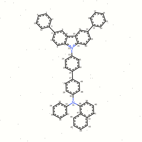 c1ccc(-c2ccc3c(c2)c2cc(-c4ccccc4)ccc2n3-c2ccc(-c3ccc(N(c4ccccc4)c4cccc5ccccc45)cc3)cc2)cc1